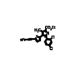 CCCC#Cc1ccc(-c2c(C)c(C(=O)OCC)nn2-c2ccc(Cl)cc2Cl)s1